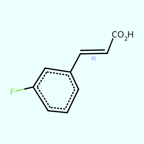 O=C(O)/C=C/c1cccc(F)c1